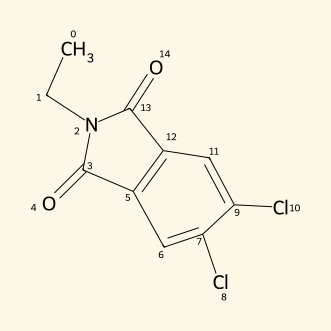 CCN1C(=O)c2cc(Cl)c(Cl)cc2C1=O